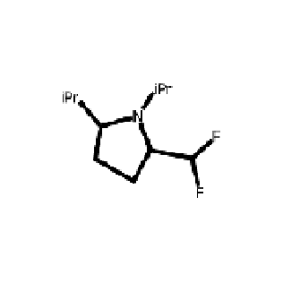 CC(C)C1CCC(C(F)F)N1C(C)C